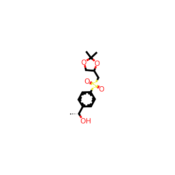 C[C@@H](O)c1ccc(S(=O)(=O)CC2COC(C)(C)O2)cc1